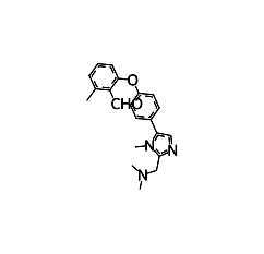 Cc1cccc(Oc2ccc(-c3cnc(CN(C)C)n3C)cc2)c1C=O